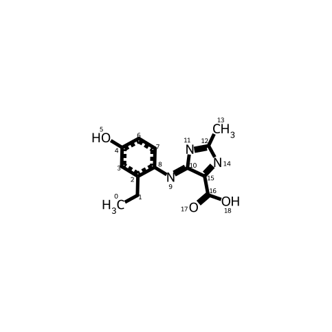 CCc1cc(O)ccc1N=C1N=C(C)N=C1C(=O)O